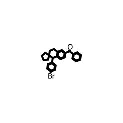 O=C(c1ccccc1)c1ccc2c(c1)CCC1(CCCC1)C2c1ccc(Br)cc1